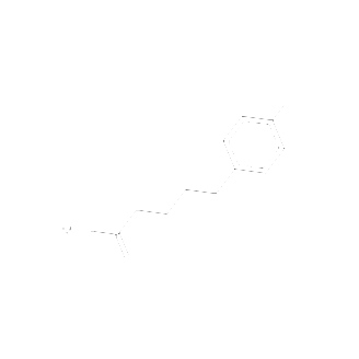 COC(=O)CCCCc1ccc(Cl)cc1